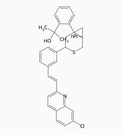 CCCC12CSC(c3cccc(/C=C/c4ccc5ccc(Cl)cc5n4)c3)CC1(c1ccccc1C(C)(C)O)C2